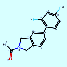 CCC(=O)N1Cc2ccc(-c3ccc(F)cc3F)cc2C1